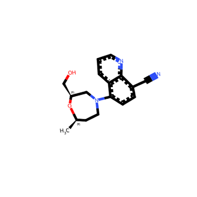 C[C@@H]1CCN(c2ccc(C#N)c3ncccc23)C[C@H](CO)O1